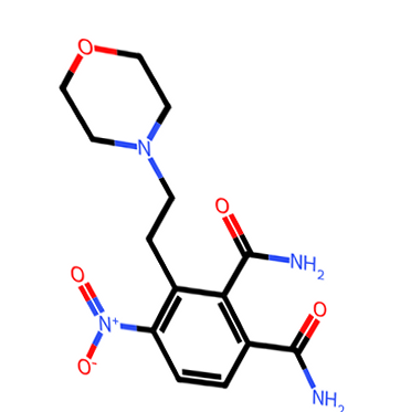 NC(=O)c1ccc([N+](=O)[O-])c(CCN2CCOCC2)c1C(N)=O